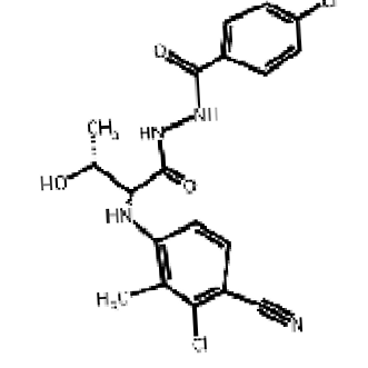 Cc1c(N[C@@H](C(=O)NNC(=O)c2ccc(Cl)cc2)[C@@H](C)O)ccc(C#N)c1Cl